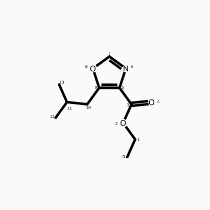 CCOC(=O)c1ncoc1CC(C)C